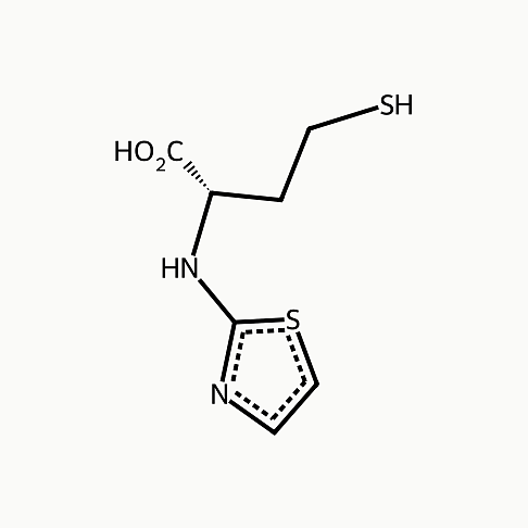 O=C(O)[C@H](CCS)Nc1nccs1